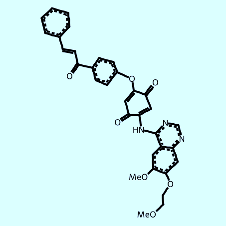 COCCOc1cc2ncnc(NC3=CC(=O)C(Oc4ccc(C(=O)C=Cc5ccccc5)cc4)=CC3=O)c2cc1OC